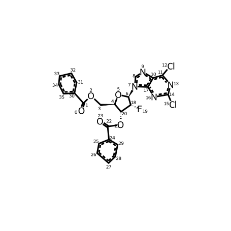 O=C(OC[C@H]1O[C@@H](n2cnc3c(Cl)nc(Cl)nc32)[C@H](F)[C@@H]1OC(=O)c1ccccc1)c1ccccc1